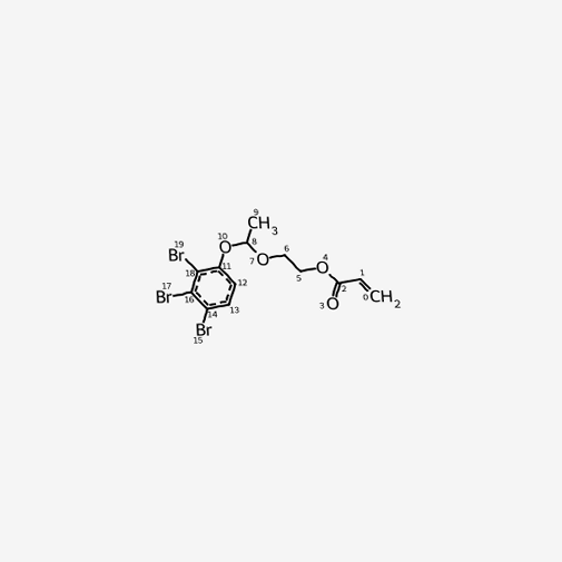 C=CC(=O)OCCOC(C)Oc1ccc(Br)c(Br)c1Br